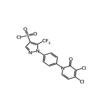 O=c1c(Cl)c(Cl)ccn1-c1ccc(-n2ncc(S(=O)(=O)Cl)c2C(F)(F)F)cc1